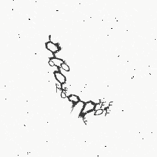 CC1CCC(C2COC(C3CCC(C(F)(F)Oc4ccc(-c5cc(F)c(OC(F)(F)F)c(F)c5)cc4)CC3)OC2)CC1